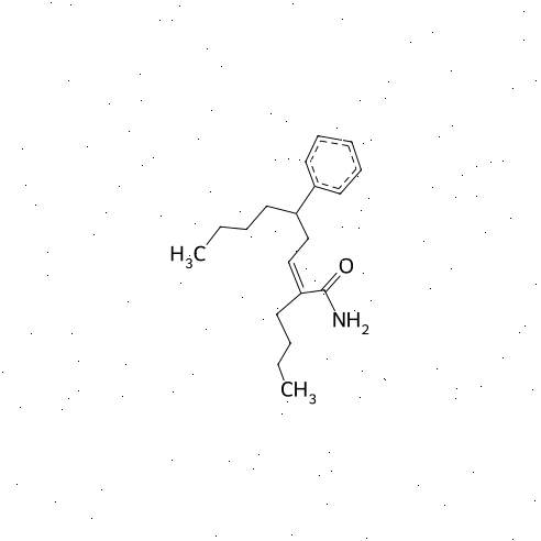 CCCCC(=CCC(CCCC)c1ccccc1)C(N)=O